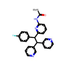 CNC(=O)Nc1cccc(C(c2ccc(F)cc2)C(c2cccnc2)c2cccnc2)n1